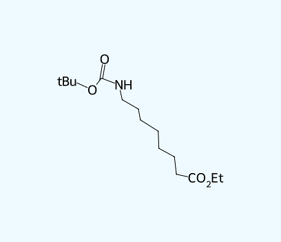 CCOC(=O)CCCCCCCNC(=O)OC(C)(C)C